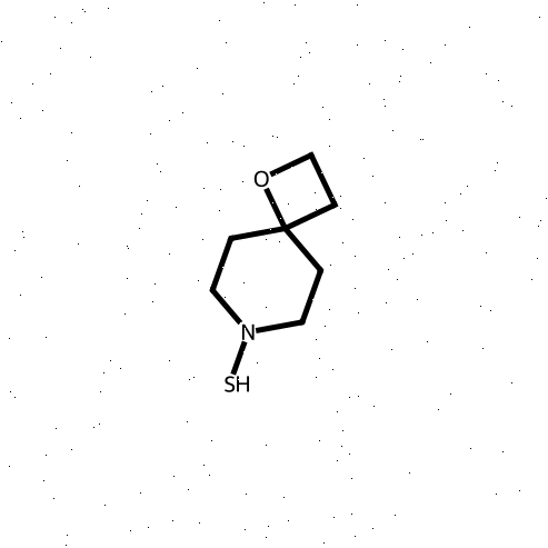 SN1CCC2(CCO2)CC1